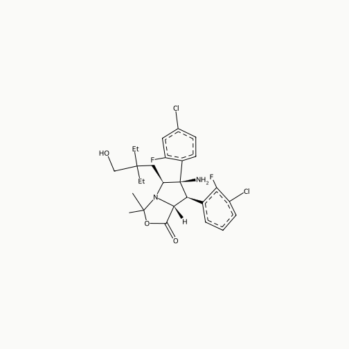 CCC(CC)(CO)C[C@@H]1N2[C@@H](C(=O)OC2(C)C)[C@H](c2cccc(Cl)c2F)[C@@]1(N)c1ccc(Cl)cc1F